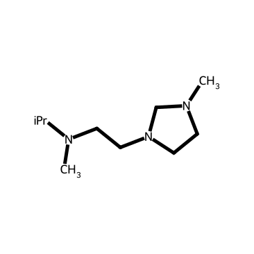 CC(C)N(C)CCN1CCN(C)C1